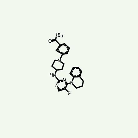 CC(C)(C)C(=O)c1cccc(N2CCC(Nc3ncc(F)c(N4CCCc5ccccc54)n3)CC2)c1